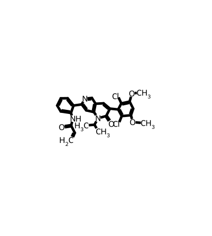 C=CC(=O)Nc1ccccc1-c1cc2c(cn1)cc(-c1c(Cl)c(OC)cc(OC)c1Cl)c(=O)n2C(C)C